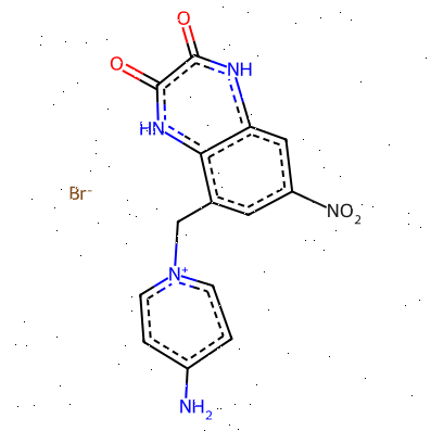 Nc1cc[n+](Cc2cc([N+](=O)[O-])cc3[nH]c(=O)c(=O)[nH]c23)cc1.[Br-]